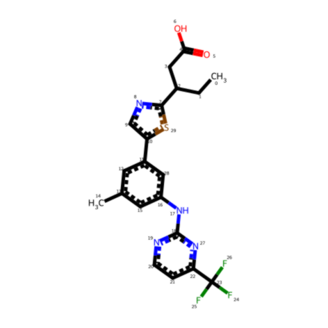 CCC(CC(=O)O)c1ncc(-c2cc(C)cc(Nc3nccc(C(F)(F)F)n3)c2)s1